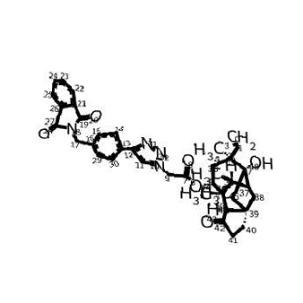 C=C[C@]1(C)C[C@@H](OC(=O)Cn2cc(-c3ccc(CN4C(=O)c5ccccc5C4=O)cc3)nn2)[C@]2(C)[C@H](C)C3C[C@]4(CCC(=O)[C@H]42)[C@@H](C)[C@]31O